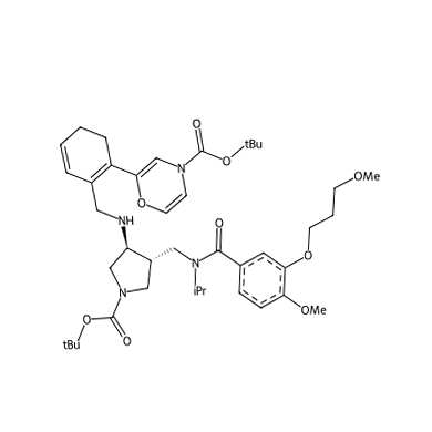 COCCCOc1cc(C(=O)N(C[C@@H]2CN(C(=O)OC(C)(C)C)C[C@H]2NCC2=C(C3=CN(C(=O)OC(C)(C)C)C=CO3)CCC=C2)C(C)C)ccc1OC